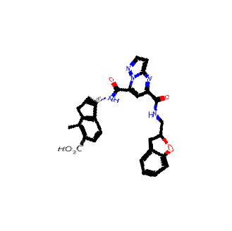 Cc1c(C(=O)O)ccc2c1CC[C@@H]2NC(=O)c1cc(C(=O)NCC2Cc3ccccc3O2)nc2ccnn12